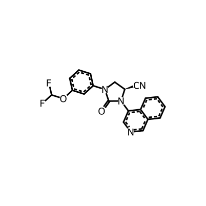 N#C[C@@H]1CN(c2cccc(OC(F)F)c2)C(=O)N1c1cncc2ccccc12